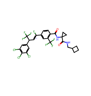 O=C(NC1(C(=O)NCC2CCC2)CC1)c1ccc(/C(F)=C/C(c2cc(Cl)c(Cl)c(Cl)c2)C(F)(F)F)cc1C(F)(F)F